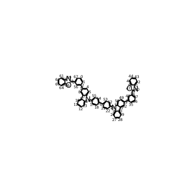 c1cc(-c2ccc3c(c2)c2ccccc2n3-c2ccc(-c3ccc(-n4c5ccccc5c5cc(-c6cccc(-c7nc8ccccc8o7)c6)ccc54)cc3)cc2)cc(-c2nc3ccccc3o2)c1